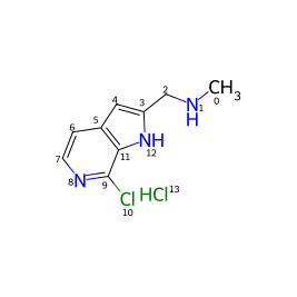 CNCc1cc2ccnc(Cl)c2[nH]1.Cl